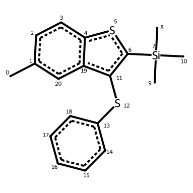 Cc1ccc2sc([Si](C)(C)C)c(Sc3ccccc3)c2c1